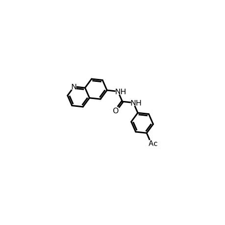 CC(=O)c1ccc(NC(=O)Nc2ccc3ncccc3c2)cc1